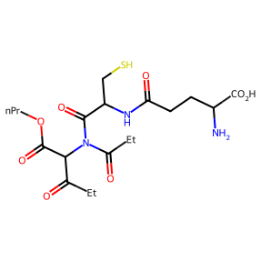 CCCOC(=O)C(C(=O)CC)N(C(=O)CC)C(=O)C(CS)NC(=O)CCC(N)C(=O)O